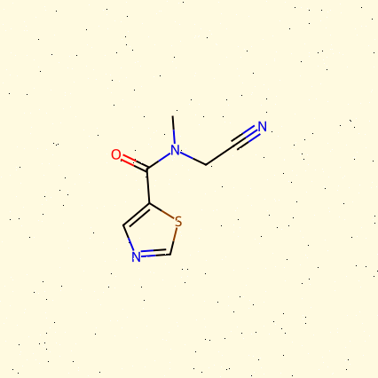 CN(CC#N)C(=O)c1cncs1